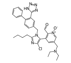 CCCCc1nc(Cl)c(-c2cc(CN(CC)CC)c[n+]([O-])c2C=O)n1Cc1ccc(-c2ccccc2)c(-c2nnn[nH]2)c1